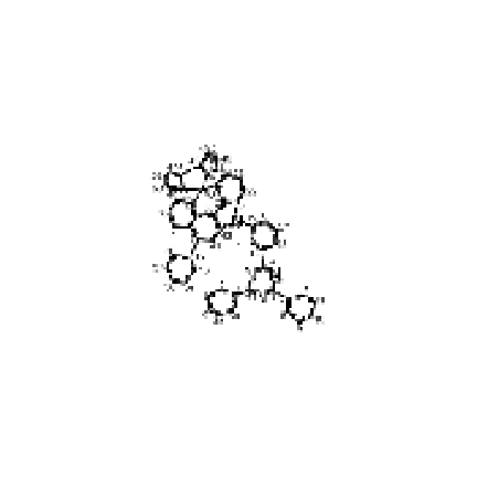 c1ccc(-c2nc(-c3ccccc3)nc(-c3cccc(-n4c5cccc6c5c5c7c(cccc7c(-c7ccccc7)cc54)C64c5ccccc5-c5ccccc54)c3)n2)cc1